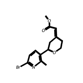 COC(=O)/C=C1/CCOC(c2ccc(Br)nc2C)C1